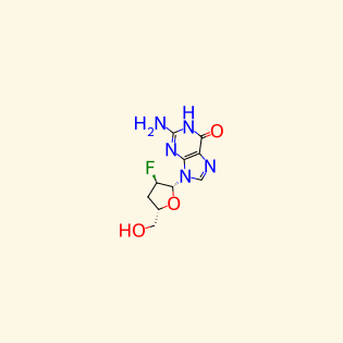 Nc1nc2c(ncn2[C@@H]2O[C@H](CO)C[C@H]2F)c(=O)[nH]1